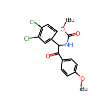 CCC(C)Oc1ccc(C(=O)C(NC(=O)OC(C)(C)C)c2ccc(Cl)c(Cl)c2)cc1